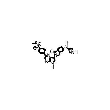 CC(C)S(=O)(=O)c1ccc(-c2cnc3[nH]cc(N4Cc5cc(NC6CNC6)ccc5C4=O)c3n2)cc1